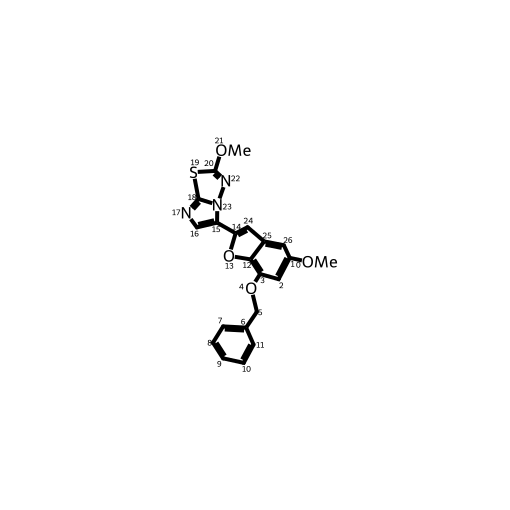 COc1cc(OCc2ccccc2)c2oc(-c3cnc4sc(OC)nn34)cc2c1